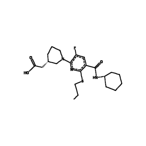 CCCSc1nc(N2CCC[C@@H](CC(=O)O)C2)c(F)cc1C(=O)NC1CCCCC1